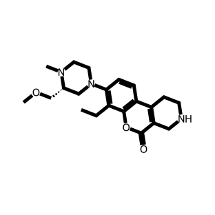 CCc1c(N2CCN(C)[C@@H](COC)C2)ccc2c3c(c(=O)oc12)CNCC3